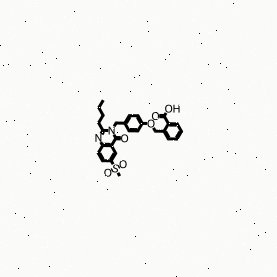 CCCCc1nc2ccc(S(C)(=O)=O)cc2c(=O)n1Cc1ccc(OCc2ccccc2C(=O)O)cc1